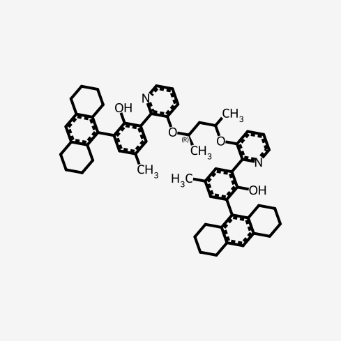 Cc1cc(-c2ncccc2OC(C)C[C@@H](C)Oc2cccnc2-c2cc(C)cc(-c3c4c(cc5c3CCCC5)CCCC4)c2O)c(O)c(-c2c3c(cc4c2CCCC4)CCCC3)c1